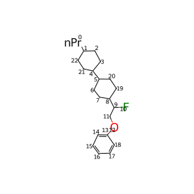 CCCC1CCC(C2CCC(C(F)COc3ccccc3)CC2)CC1